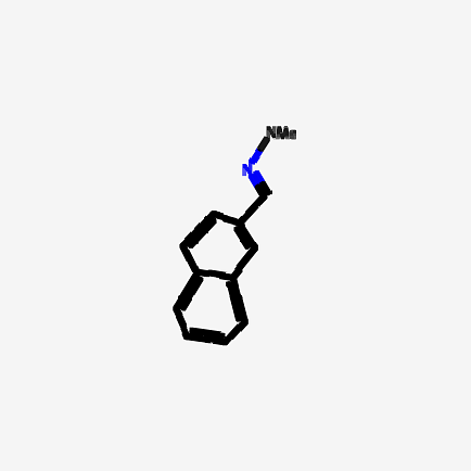 CN/N=C/c1ccc2ccccc2c1